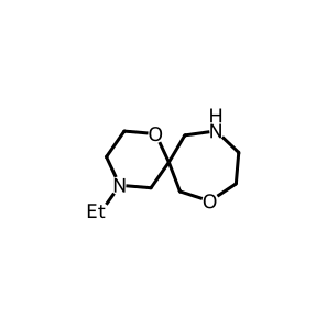 CCN1CCOC2(CNCCOC2)C1